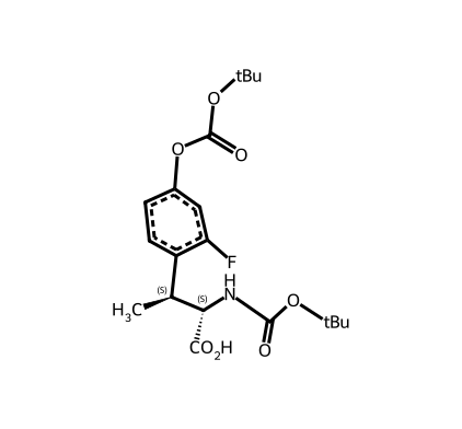 C[C@@H](c1ccc(OC(=O)OC(C)(C)C)cc1F)[C@H](NC(=O)OC(C)(C)C)C(=O)O